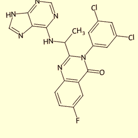 CC(Nc1ncnc2[nH]cnc12)c1nc2ccc(F)cc2c(=O)n1-c1cc(Cl)cc(Cl)c1